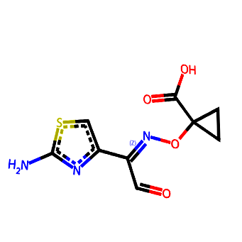 Nc1nc(/C(C=O)=N/OC2(C(=O)O)CC2)cs1